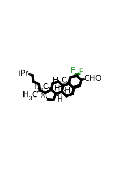 CC(C)CCC[C@@H](C)[C@H]1CC[C@H]2[C@@H]3CCC4=CC(C=O)C(F)(F)C[C@]4(C)[C@H]3CC[C@]12C